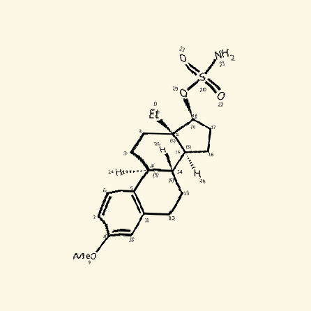 CC[C@]12CC[C@@H]3c4ccc(OC)cc4CC[C@H]3[C@@H]1CC[C@@H]2OS(N)(=O)=O